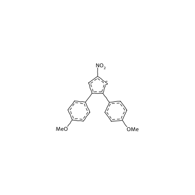 COc1ccc(-c2cc([N+](=O)[O-])sc2-c2ccc(OC)cc2)cc1